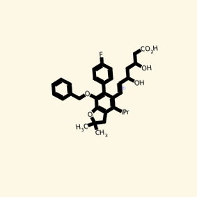 CC(C)c1c(/C=C/C(O)CC(O)CC(=O)O)c(-c2ccc(F)cc2)c(OCc2ccccc2)c2c1CC(C)(C)O2